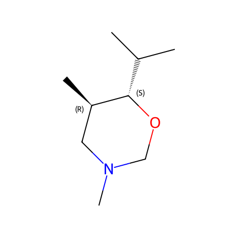 CC(C)[C@@H]1OCN(C)C[C@H]1C